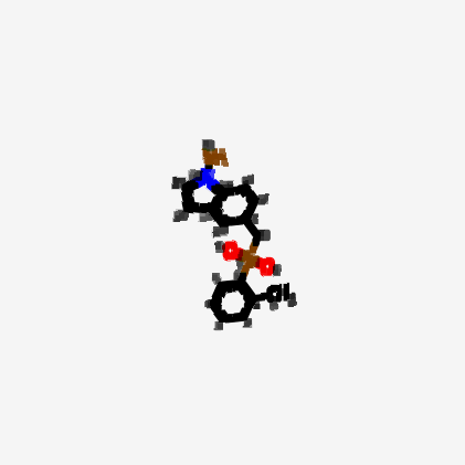 Cc1ccccc1S(=O)(=O)Cc1ccc2c(ccn2S)c1